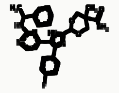 CC(Nc1nccc(-c2[nH]c(C3OCC(C)(C(N)=O)CO3)nc2-c2ccc(F)cc2)n1)c1ccccc1